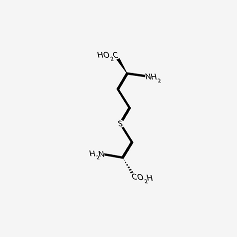 N[C@H](CSCC[C@H](N)C(=O)O)C(=O)O